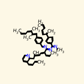 C=C/C=C\c1cccnc1C/C(C)=C/C=C(\C=C/C)C(=N/C(=N\C)c1ccc(C(=C)/C=C\C=C/C)cc1)/N=C/c1ccc(/C=C(C)/C(C)=C\C=C/C)cc1